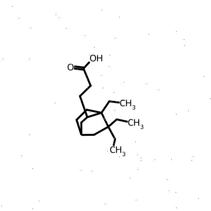 CCC1(CC)CC2CCC1(CC)C(CCC(=O)O)C2